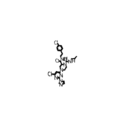 CCCNC(=O)N1CCN(c2cc(Cl)nc(-n3ccnc3)n2)CC1C(=O)NCCc1ccc(Cl)cc1